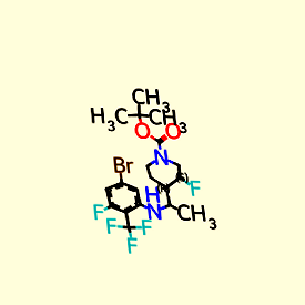 CC(Nc1cc(Br)cc(F)c1C(F)(F)F)[C@H]1CCN(C(=O)OC(C)(C)C)C[C@H]1F